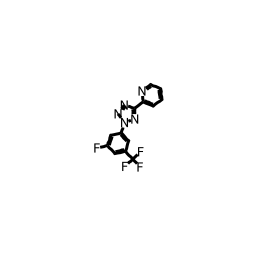 Fc1cc(-n2nnc(-c3ccccn3)n2)cc(C(F)(F)F)c1